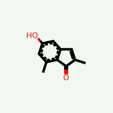 CC1=Cc2cc(O)cc(C)c2C1=O